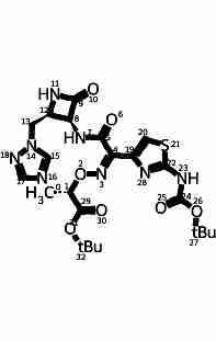 C[C@H](ON=C(C(=O)N[C@@H]1C(=O)N[C@@H]1Cn1cncn1)c1csc(NC(=O)OC(C)(C)C)n1)C(=O)OC(C)(C)C